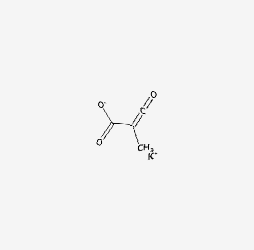 CC(=C=O)C(=O)[O-].[K+]